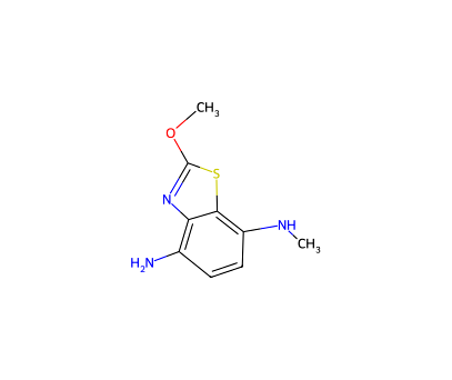 CNc1ccc(N)c2nc(OC)sc12